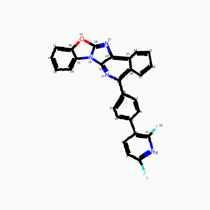 Fc1ccc(-c2ccc(-c3nc4c(nc5oc6ccccc6n54)c4ccccc34)cc2)c(F)n1